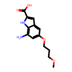 COCCCOc1cc(N)c2[nH]c(C(=O)O)cc2c1